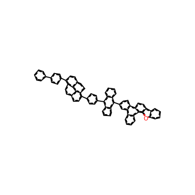 c1ccc(-c2ccc(-c3ccc4ccc5c(-c6ccc(-c7c8ccccc8c(-c8ccc9c(c8)c8ccccc8c8c9ccc9c%10ccccc%10oc98)c8ccccc78)cc6)ccc6ccc3c4c65)cc2)cc1